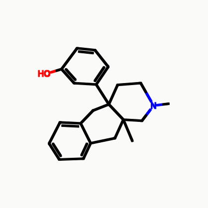 CN1CCC2(c3cccc(O)c3)Cc3ccccc3CC2(C)C1